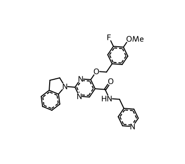 COc1ccc(COc2nc(N3CCc4ccccc43)ncc2C(=O)NCc2ccncc2)cc1F